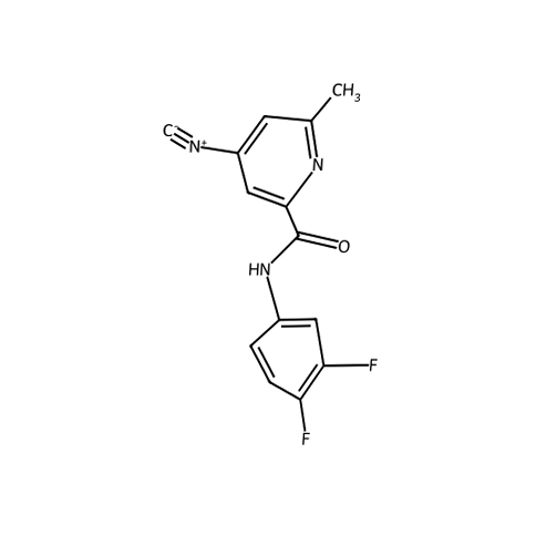 [C-]#[N+]c1cc(C)nc(C(=O)Nc2ccc(F)c(F)c2)c1